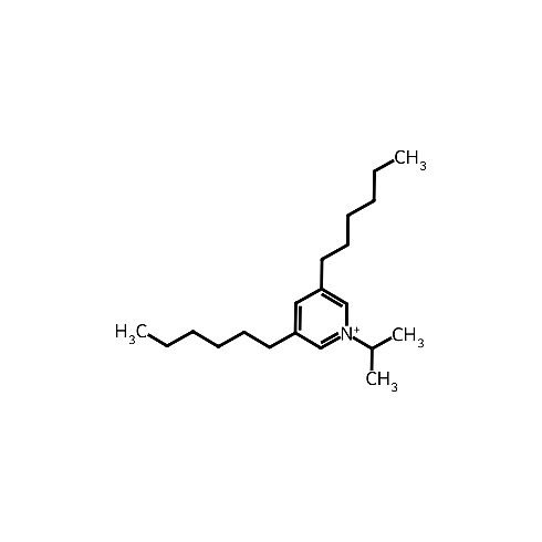 CCCCCCc1cc(CCCCCC)c[n+](C(C)C)c1